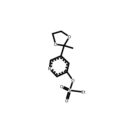 CCS(=O)(=O)Oc1cncc(C2(C)OCCO2)c1